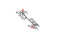 CC1=C(/C=C/C(C)=C/C=C/C(C)=C/C=C/C=C(C)/C=C/C=C(C)/C=C/C2=C(C)C(=O)C(C)CC2(C)C)C(C)(C)CCC1=O